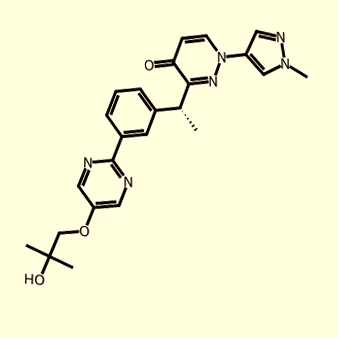 C[C@H](c1cccc(-c2ncc(OCC(C)(C)O)cn2)c1)c1nn(-c2cnn(C)c2)ccc1=O